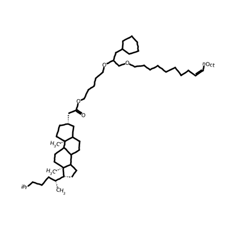 CCCCCCCC/C=C\CCCCCCCCOCC(CC1CCCCC1)OCCCCCOC(=O)C[C@H]1CC[C@@]2(C)C(CCC3C2CC[C@@]2(C)C3CC[C@@H]2[C@H](C)CCCC(C)C)C1